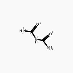 NC(=O)BC(N)=O